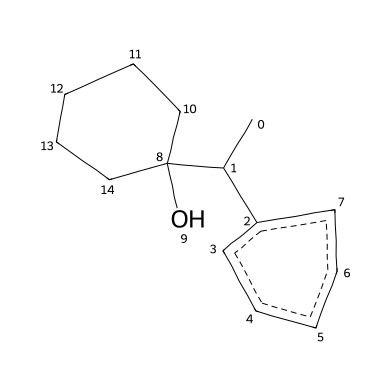 CC(c1ccccc1)C1(O)CCCCC1